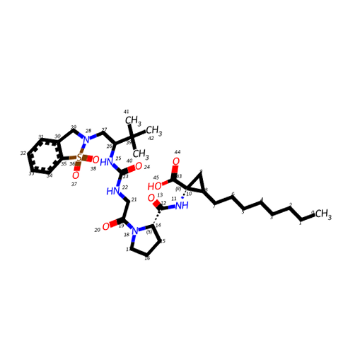 CCCCCCCCC1C[C@]1(NC(=O)[C@@H]1CCCN1C(=O)CNC(=O)NC(CN1Cc2ccccc2S1(=O)=O)C(C)(C)C)C(=O)O